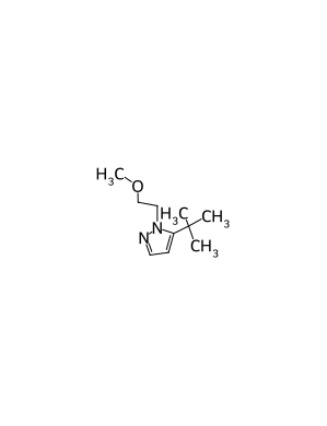 COCCn1nccc1C(C)(C)C